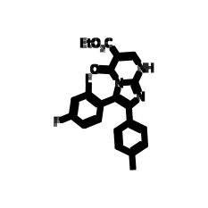 CCOC(=O)c1c[nH]c2nc(-c3ccc(C)cc3)c(-c3ccc(F)cc3F)n2c1=O